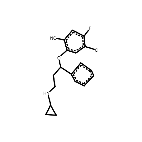 N#Cc1cc(F)c(Cl)cc1OC(CCNC1CC1)c1ccccc1